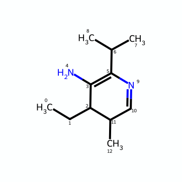 CCC1C(N)=C(C(C)C)N=CC1C